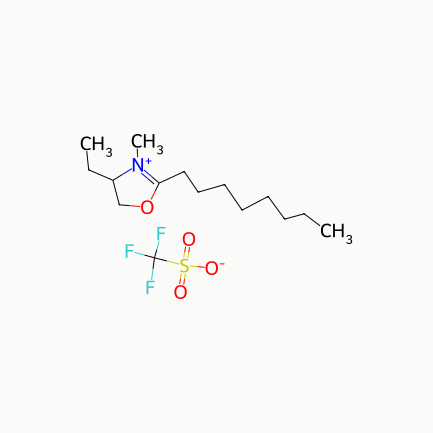 CCCCCCCCC1=[N+](C)C(CC)CO1.O=S(=O)([O-])C(F)(F)F